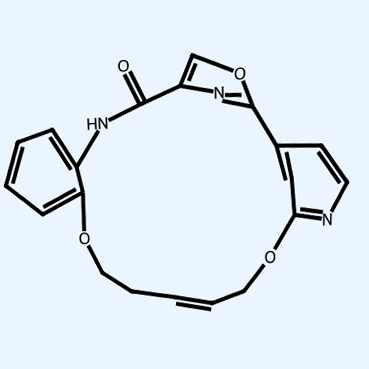 O=C1Nc2ccccc2OCC/C=C/COc2cc(ccn2)-c2nc1co2